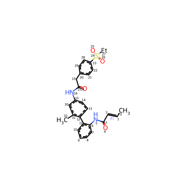 C/C=C/C(=O)Nc1ccccc1-c1ccc(NC(=O)Cc2ccc(S(=O)(=O)CC)cc2)cc1C